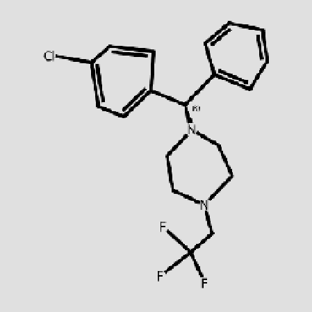 FC(F)(F)CN1CCN([C@H](c2ccccc2)c2ccc(Cl)cc2)CC1